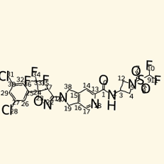 O=C(NC1CN(S(=O)(=O)C(F)F)C1)c1cc2c(cn1)CN(C1=NOC(c3cc(Cl)cc(Cl)c3)(C(F)(F)F)C1)C2